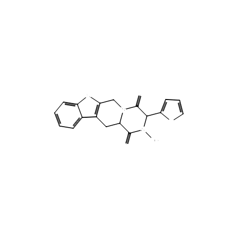 CCCCN1C(=O)C2Cc3c([nH]c4ccccc34)CN2C(=O)C1c1cccs1